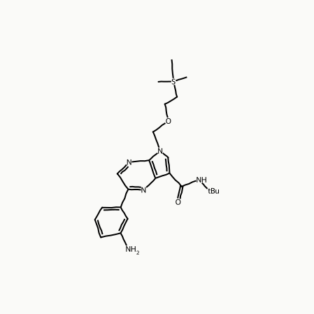 CC(C)(C)NC(=O)c1cn(COCCS(C)(C)C)c2ncc(-c3cccc(N)c3)nc12